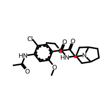 CCOC(=O)CN1C2CCC1CC(NC(=O)c1cc(Cl)c(NC(C)=O)cc1OC)C2